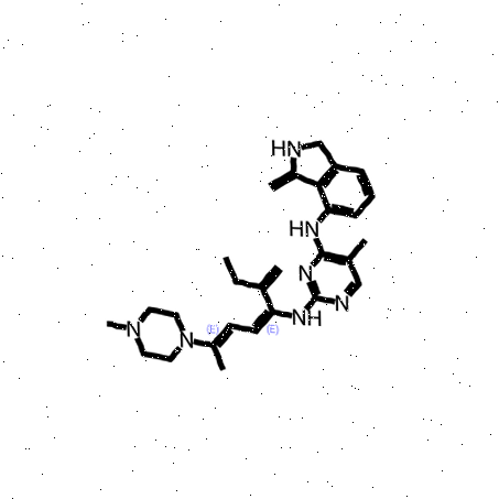 C=C(CC)/C(=C\C=C(/C)N1CCN(C)CC1)Nc1ncc(C)c(Nc2cccc3c2C(=C)NC3)n1